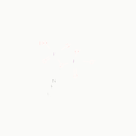 O=P([O-])([O-])OP(=O)([O-])O.[K+].[K+].[Na+]